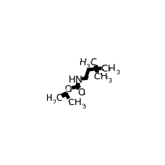 C=C(C)OC(=O)NCCC(C)(C)C